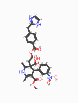 COC(=O)C1=C(C)NC(C)C(CCOC(=O)c2ccc(Cc3ncc[nH]3)cc2)(C(=O)O)C1c1cccc([N+](=O)[O-])c1